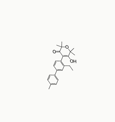 CCc1cc(-c2ccc(C)cc2)ccc1C1=C(O)C(C)(C)OC(C)(C)C1=O